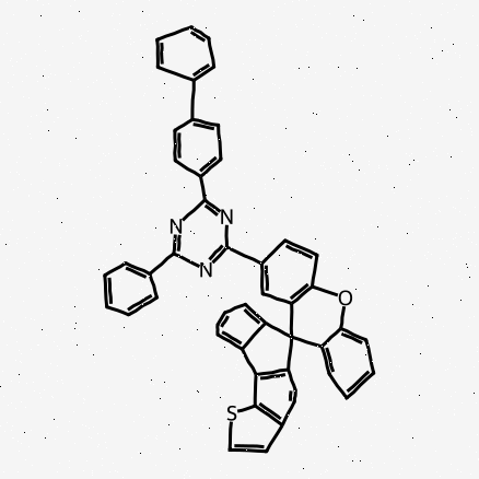 c1ccc(-c2ccc(-c3nc(-c4ccccc4)nc(-c4ccc5c(c4)C4(c6ccccc6O5)c5ccccc5-c5c4ccc4ccsc54)n3)cc2)cc1